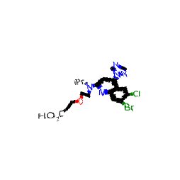 CC(C)N(CCOCCC(=O)O)c1cc(-n2cncn2)c2cc(Cl)c(Br)cc2n1